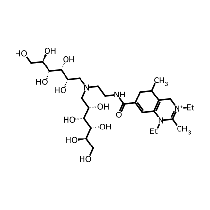 CCN1C2=C(C[N+](CC)=C1C)C(C)CC(C(=O)NCCN(C[C@H](O)[C@@H](O)[C@H](O)[C@H](O)CO)C[C@H](O)[C@@H](O)[C@H](O)[C@H](O)CO)=C2